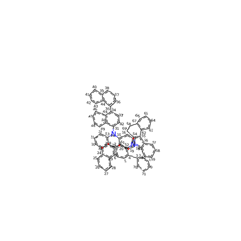 c1ccc(-c2ccc(-c3ccccc3N(c3ccccc3-c3ccc4ccccc4c3)c3ccc(-c4cccc5ccccc45)c4ccccc34)cc2-n2c3c(c4ccccc42)-c2ccccc2CC3)cc1